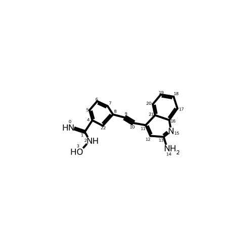 N=C(NO)c1cccc(C#Cc2cc(N)nc3ccccc23)c1